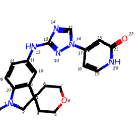 CC(C)N1CC2(CCOCC2)c2cc(Nc3ncn(-c4cc[nH]c(=O)c4)n3)ccc21